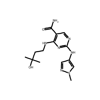 Cn1cc(Nc2ncc(C(N)=O)c(NCCC(C)(C)O)n2)cn1